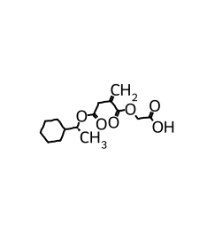 C=C(CC(=O)O[C@@H](C)C1CCCCC1)C(=O)OCC(=O)O